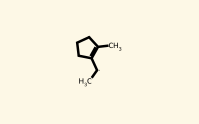 C[CH]C1=C(C)CCC1